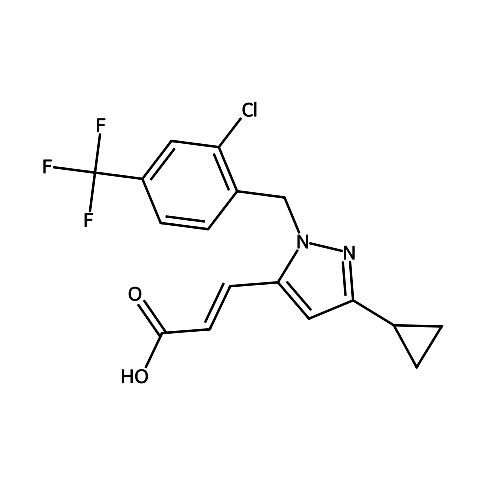 O=C(O)C=Cc1cc(C2CC2)nn1Cc1ccc(C(F)(F)F)cc1Cl